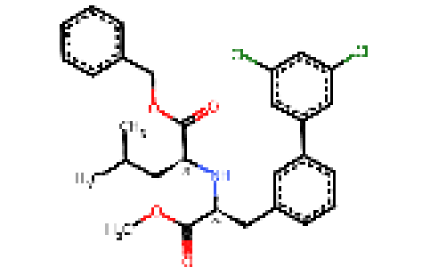 COC(=O)[C@H](Cc1cccc(-c2cc(Cl)cc(Cl)c2)c1)N[C@@H](CC(C)C)C(=O)OCc1ccccc1